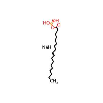 CCCCCCCCC=CCCCCCCCC(=O)OP(O)O.[NaH]